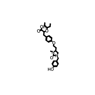 CCC(CC)OC(Cc1ccc(OCCC2CN(Cc3ccc(O)cc3)C(=O)N2C)cc1)C(=O)O